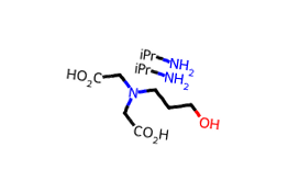 CC(C)N.CC(C)N.O=C(O)CN(CCCO)CC(=O)O